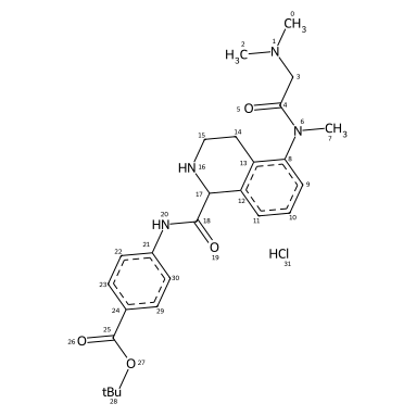 CN(C)CC(=O)N(C)c1cccc2c1CCNC2C(=O)Nc1ccc(C(=O)OC(C)(C)C)cc1.Cl